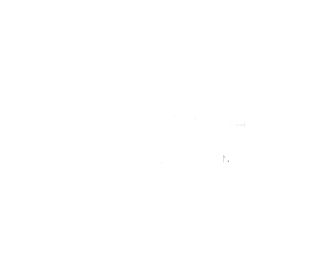 O=C(OCc1ccccc1)c1ccnc(O)c1C(=O)Oc1ccccc1